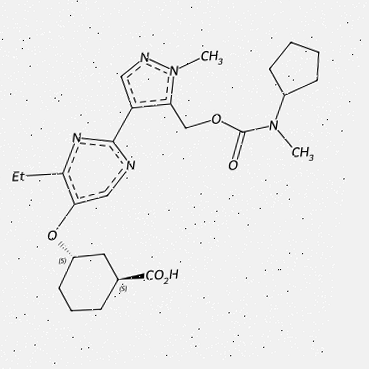 CCc1nc(-c2cnn(C)c2COC(=O)N(C)C2CCCC2)ncc1O[C@H]1CCC[C@H](C(=O)O)C1